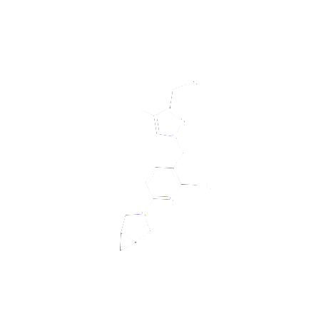 Cc1nc(N2CC3CC3C2)ccc1Cn1cc(C(=O)O)c(CC#N)n1